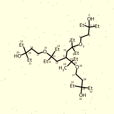 CCC(O)(CC)CCOC(CC)(CC)CC(CC(CC)(CC)OCCC(O)(CC)CC)C(C)(CC)OCCC(O)(CC)CC